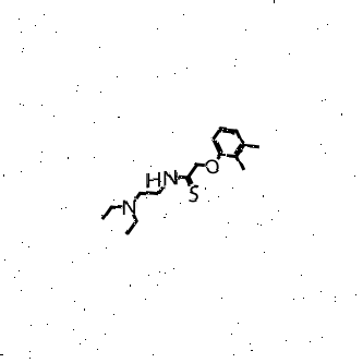 CCN(CC)CCNC(=S)COc1cccc(C)c1C